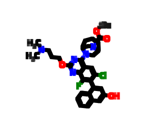 CN(C)CCCOc1nc(N2CC3CCCC2CN3C(=O)OC(C)(C)C)c2cc(Cl)c(-c3cc(O)cc4ccccc34)c(F)c2n1